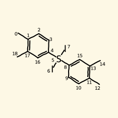 Cc1ccc(S(I)(I)c2ccc(C)c(C)c2)cc1C